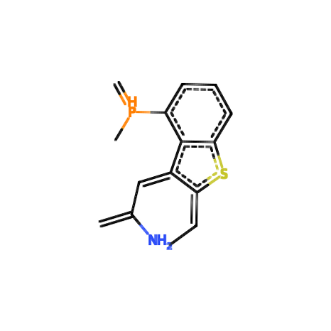 C=C(N)/C=c1\c(=C/C)sc2cccc([PH](=C)C)c12